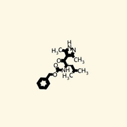 Cc1n[nH]c(C)c1C(=O)[C@@H](CC(C)C)NC(=O)OCc1ccccc1